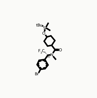 CN(C(=O)C1CCC(O[Si](C)(C)C(C)(C)C)CC1)[C@H](c1ccc(Br)cc1)C(F)(F)F